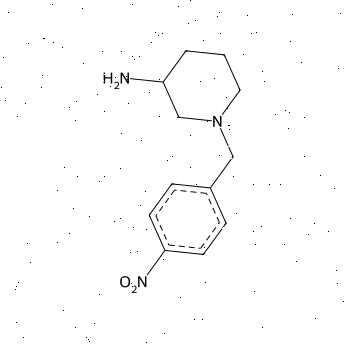 NC1CCCN(Cc2ccc([N+](=O)[O-])cc2)C1